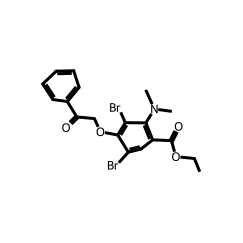 CCOC(=O)c1cc(Br)c(OCC(=O)c2ccccc2)c(Br)c1N(C)C